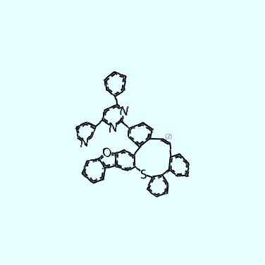 C1=C\c2ccc(-c3nc(-c4ccccc4)cc(-c4cccnc4)n3)cc2-c2cc3oc4ccccc4c3cc2Sc2ccccc2-c2ccccc2/1